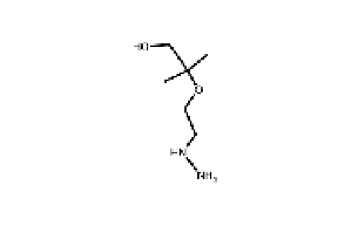 CC(C)(CO)OCCNN